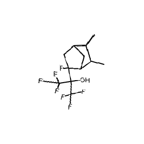 CC1C2CC(C1C)C(F)(C(O)(C(F)(F)F)C(F)(F)F)C2